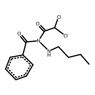 CCCCNN(C(=O)c1ccccc1)C(=O)C(Cl)Cl